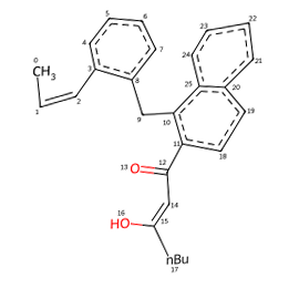 C/C=C\c1ccccc1Cc1c(C(=O)/C=C(\O)CCCC)ccc2ccccc12